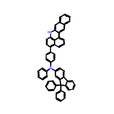 c1ccc(N(c2ccc(-c3ccc4c5c(cccc35)-c3cc5ccccc5cc3N4)cc2)c2ccc3c(c2)C(c2ccccc2)(c2ccccc2)c2ccccc2-3)cc1